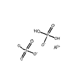 O=P([O-])(O)O.O=S(=O)([O-])[O-].[Al+3]